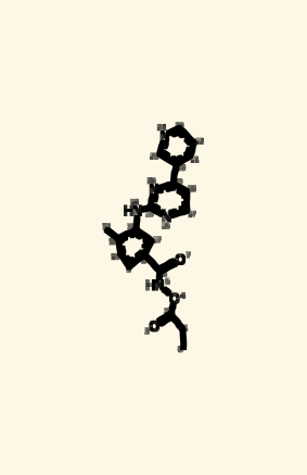 CCC(=O)ONC(=O)c1ccc(C)c(Nc2nccc(-c3cccnc3)n2)c1